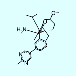 CO[C@H]1CC[C@]2(CC1)Cc1ccc(-c3cnc(C)nc3)cc1C21C=C(N)N(C(C)C)C1=O